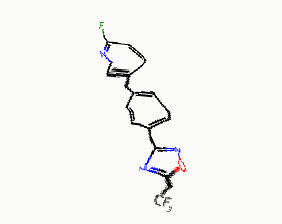 Fc1ccc(-c2ccc(-c3noc(C(F)(F)F)n3)cc2)cn1